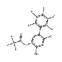 O=C(Nc1cc(-c2c(F)c(F)c(F)c(F)c2F)c(Cl)cc1O)C(F)(F)Br